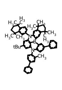 Cc1cc(-c2ccccc2)ccc1N1c2ccc(-c3ccccc3)cc2B2c3cc4c(cc3N(c3ccc5c(c3)C(C)(C)CCC5(C)C)c3cc(C(C)(C)C)cc1c32)C(C)(C)CCC4(C)C